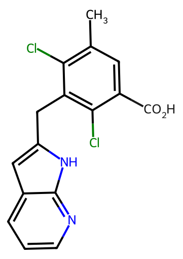 Cc1cc(C(=O)O)c(Cl)c(Cc2cc3cccnc3[nH]2)c1Cl